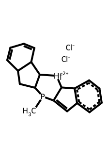 CP1C2=Cc3ccccc3[CH]2[Hf+2][CH]2C3C=CC=CC3CC21.[Cl-].[Cl-]